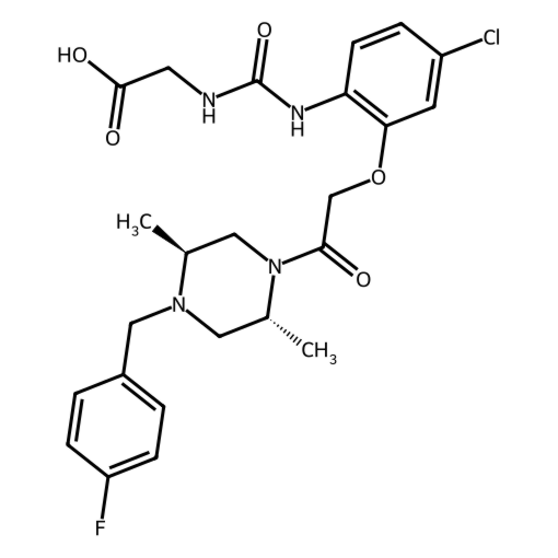 C[C@@H]1CN(Cc2ccc(F)cc2)[C@@H](C)CN1C(=O)COc1cc(Cl)ccc1NC(=O)NCC(=O)O